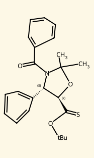 CC(C)(C)OC(=S)[C@@H]1OC(C)(C)N(C(=O)c2ccccc2)[C@H]1c1ccccc1